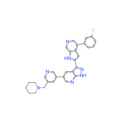 Fc1cccc(-c2cncc3[nH]c(-c4n[nH]c5ncc(-c6cncc(CN7CCCCC7)c6)cc45)cc23)c1